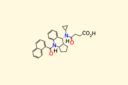 O=C(O)CCC(=O)N(C1CC1)[C@H]1c2ccccc2N(C(=O)c2cccc3ccccc23)[C@@H]2CCC[C@@H]21